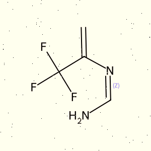 C=C(/N=C\N)C(F)(F)F